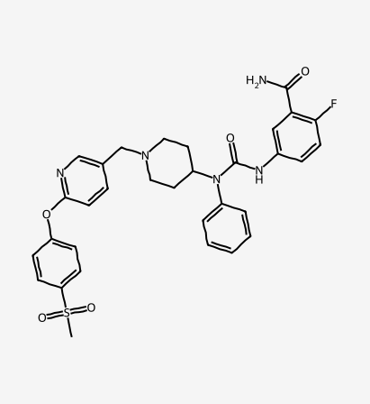 CS(=O)(=O)c1ccc(Oc2ccc(CN3CCC(N(C(=O)Nc4ccc(F)c(C(N)=O)c4)c4ccccc4)CC3)cn2)cc1